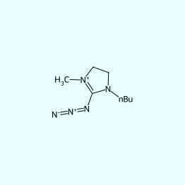 CCCCN1CC[N+](C)=C1N=[N+]=[N-]